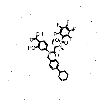 CC[C@@H](C(=O)N(Cc1ccc(C2CCCCC2)cc1)c1ccc(C(=O)O)c(O)c1)N(C)S(=O)(=O)c1c(F)c(F)c(F)c(F)c1F